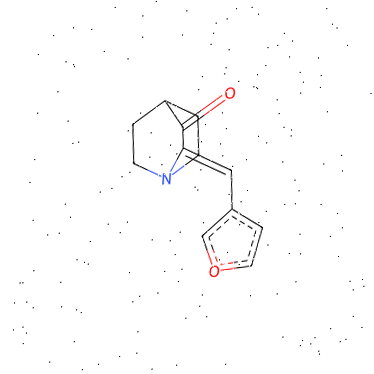 O=C1/C(=C/c2ccoc2)N2CCC1CC2